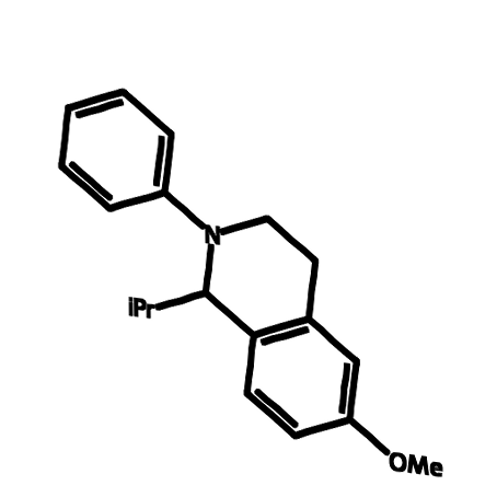 COc1ccc2c(c1)CCN(c1ccccc1)C2C(C)C